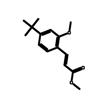 COC(=O)C=Cc1ccc(C(C)(C)C)cc1OC